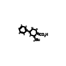 CC(C)(C)C1CC(c2ccccc2)CCN1C(=O)O